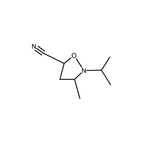 CC(C)N1OC(C#N)CC1C